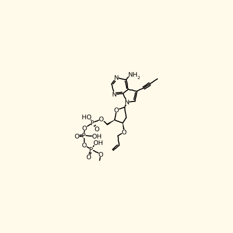 C=CCO[C@@H]1C[C@H](n2cc(C#CC)c3c(N)ncnc32)O[C@@H]1COP(=O)(O)OP(=O)(O)OP(=O)(O)OC